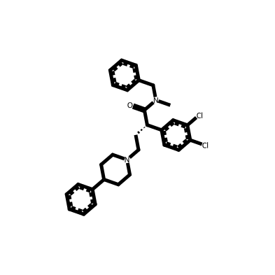 CN(Cc1ccccc1)C(=O)[C@@H](CCN1CCC(c2ccccc2)CC1)c1ccc(Cl)c(Cl)c1